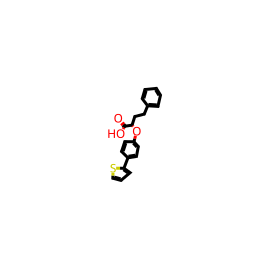 O=C(O)C(CCc1ccccc1)Oc1ccc(-c2cccs2)cc1